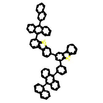 c1cc(-c2c3ccccc3c(-c3cccc4ccccc34)c3ccccc23)cc(-c2cc(-c3ccc4c(c3)sc3c(-c5c6ccccc6c(-c6ccc7ccccc7c6)c6ccccc56)cccc34)cc3c2sc2ccccc23)c1